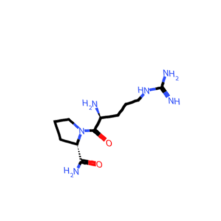 N=C(N)NCCC[C@H](N)C(=O)N1CCC[C@H]1C(N)=O